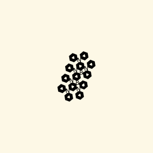 C1=CCC2C(=C1)B1c3cc4c(cc3N(c3ccccc3)c3cc(N(c5ccccc5)c5ccccc5)cc(c31)N2c1ccccc1)N(c1ccccc1)c1cc(N(c2ccccc2)c2ccccc2)cc2c1B4c1ccccc1N2c1ccccc1